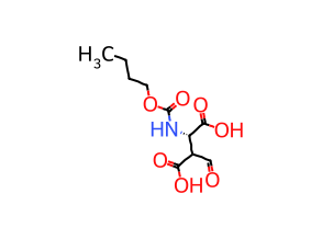 CCCCOC(=O)N[C@H](C(=O)O)C(C=O)C(=O)O